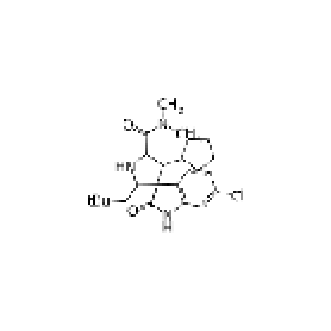 CN(C)C(=O)C1NC(CC(C)(C)C)C2(C(=O)Nc3cc(Cl)ccc32)C1C1CCCC1